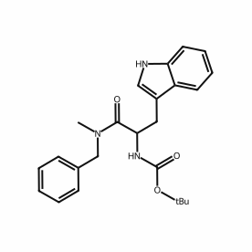 CN(Cc1ccccc1)C(=O)C(Cc1c[nH]c2ccccc12)NC(=O)OC(C)(C)C